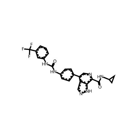 O=C(Nc1ccc(-c2cnc(C(=O)NC3CC3)c3[nH]ncc23)cc1)Nc1cccc(C(F)(F)F)c1